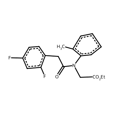 CCOC(=O)CN(C(=O)Cc1ccc(F)cc1F)c1ccccc1C